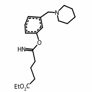 CCOC(=O)CCCC(=N)Oc1cccc(CN2CCCCC2)c1